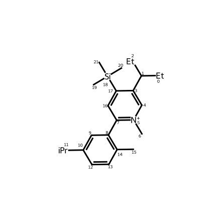 CCC(CC)c1c[n+](C)c(-c2cc(C(C)C)ccc2C)cc1[Si](C)(C)C